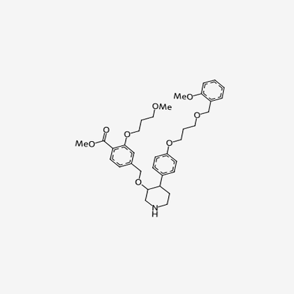 COCCCOc1cc(COC2CNCCC2c2ccc(OCCCOCc3ccccc3OC)cc2)ccc1C(=O)OC